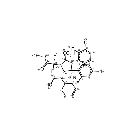 N#C[C@]1(c2ccc(Cl)cc2F)[C@H](C(CO)C2CC=CCC2)N(C(F)(F)C(=O)OF)[C@@H](C(=O)O)[C@@H]1c1cccc(Cl)c1F